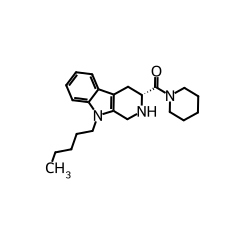 CCCCCn1c2c(c3ccccc31)C[C@H](C(=O)N1CCCCC1)NC2